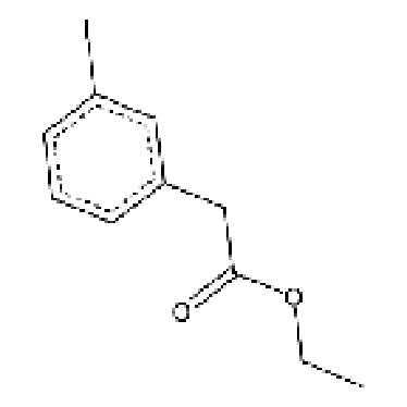 CCOC(=O)Cc1cccc(I)c1